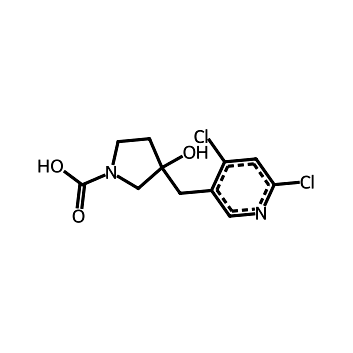 O=C(O)N1CCC(O)(Cc2cnc(Cl)cc2Cl)C1